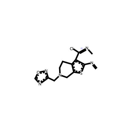 C=Nc1sc2c(c1/C(Cl)=N\C)CCN(Cc1ncon1)C2